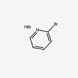 Br.Brc1ccccn1